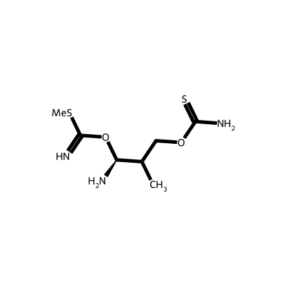 CSC(=N)O[C@H](N)C(C)COC(N)=S